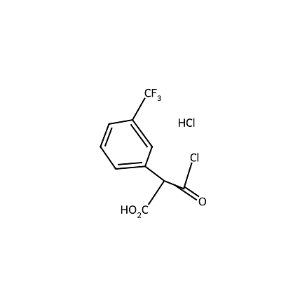 Cl.O=C(O)C(C(=O)Cl)c1cccc(C(F)(F)F)c1